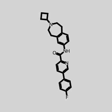 O=C(Nc1ccc2c(c1)CCN(C1CCC1)CC2)c1ccc(-c2ccc(F)cc2)cn1